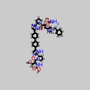 COC(=O)N[C@H](C(=O)N1CCC[C@H]1c1ncc(-c2ccc(-c3ccc(-c4cnc([C@@H]5CCCN5C(=O)[C@](C)(Cc5cn(Cc6ccccc6)cn5)OC(N)=O)[nH]4)cc3)cc2)[nH]1)[C@@H](C)OC